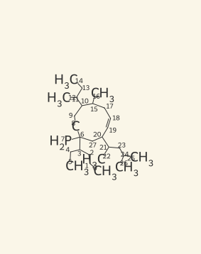 CCCC(CC)C1(P)CCC(C(C)CC)C(C)CC=CC(C(C)CC(C)C)C1